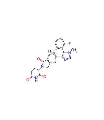 Cc1cccc(F)c1-c1c(-c2ccc3c(c2)CN(C2CCC(=O)NC2=O)C3=O)ncn1C